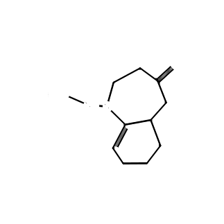 O=C1CCN(NC(=O)O)C2=CCCCC2C1